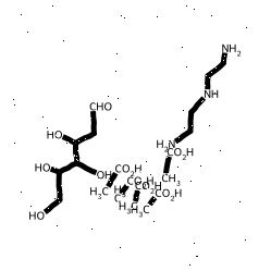 CC(=O)O.CC(=O)O.CC(=O)O.CC(=O)O.CC(=O)O.NCCNCCN.O=CCC(O)C(O)C(O)CO